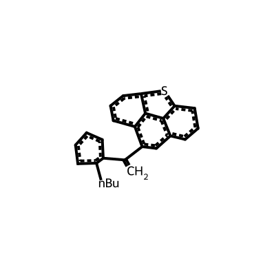 C=C(c1ccccc1CCCC)c1cc2cccc3sc4cccc1c4c23